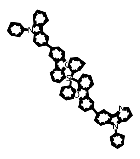 c1ccc(-n2c3ccccc3c3cc(-c4ccc5oc6c([Si](c7ccccc7)(c7ccccc7)c7cccc8c7oc7ccc(-c9ccc%10c(c9)c9ncccc9n%10-c9ccccc9)cc78)cccc6c5c4)ccc32)cc1